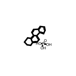 O=P(O)(O)O.c1ccc2c(c1)ccc1c3c(ccc12)CCCC3